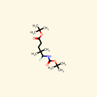 CC(C)(C)OC(=O)CCC(C)(C)C(F)NC(=O)OC(C)(C)C